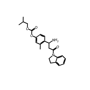 Cc1cc(OC(=O)OCC(C)C)ccc1C(N)CC(=O)N1CCc2ccccc21